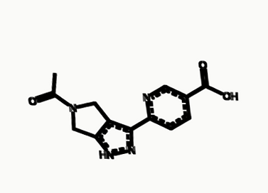 CC(=O)N1Cc2[nH]nc(-c3ccc(C(=O)O)cn3)c2C1